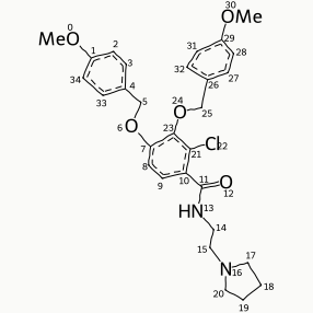 COc1ccc(COc2ccc(C(=O)NCCN3CCCC3)c(Cl)c2OCc2ccc(OC)cc2)cc1